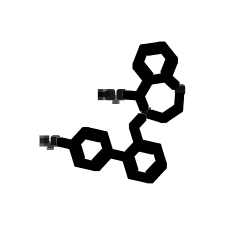 Cc1ccc(-c2ccccc2CN2CCOc3ccccc3C2C(=O)O)cc1